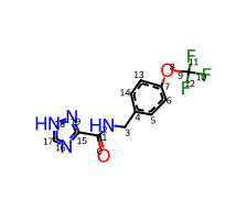 O=C(NCc1ccc(OC(F)(F)F)cc1)c1nc[nH]n1